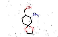 N[C@@H]1CC2(CC[C@H]1CO)OCCO2